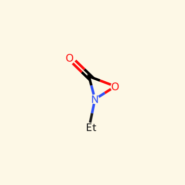 CCN1OC1=O